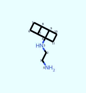 NCCNC12C3C4C5C3C1C5C42